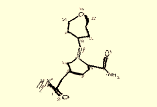 NC(=O)C1CC(C(N)=O)N(C2CCOCC2)C1